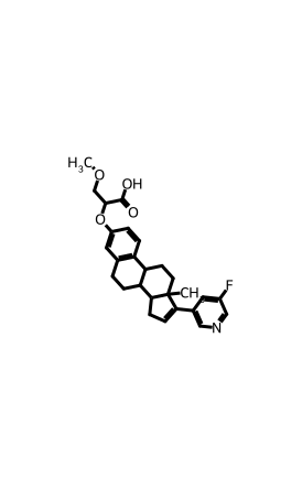 COCC(Oc1ccc2c(c1)CCC1C2CCC2(C)C(c3cncc(F)c3)=CCC12)C(=O)O